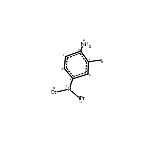 CCN(c1ccc(N)c(C)c1)C(C)C